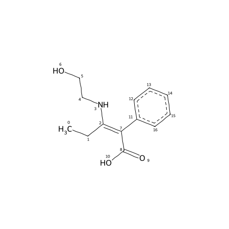 CCC(NCCO)=C(C(=O)O)c1ccccc1